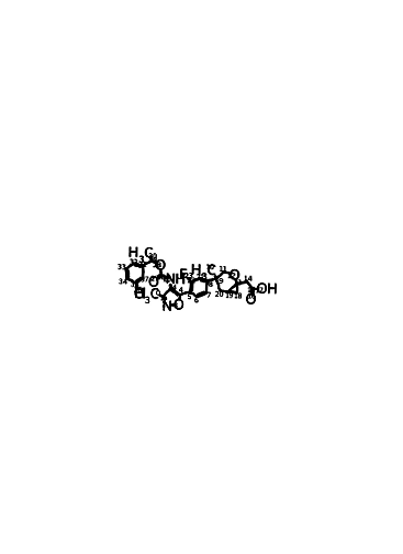 Cc1noc(-c2ccc(C3(C)COC4(CC(=O)O)CC4C3)cc2F)c1NC(=O)OC(C)c1cccc(Cl)c1